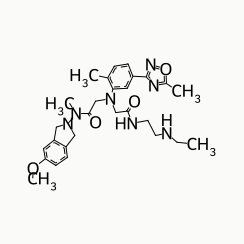 CCNCCNC(=O)CN(CC(=O)N(C)N1Cc2ccc(OC)cc2C1)c1cc(-c2noc(C)n2)ccc1C